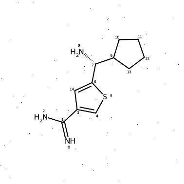 N=C(N)c1csc([C@H](N)C2CCCC2)c1